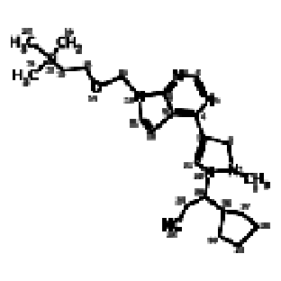 CN1CC(c2ncnc3c2ccn3COCC[Si](C)(C)C)=CN1C(CC#N)C1CCCC1